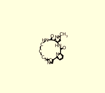 Cn1cc2c(n1)C(=O)NCCCCCCn1cc(cn1)-c1cccc(n1)C(=O)N2